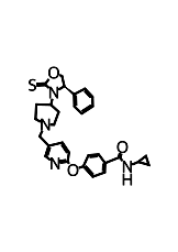 O=C(NC1CC1)c1ccc(Oc2ccc(CN3CCC(N4C(=S)OC[C@H]4c4ccccc4)CC3)cn2)cc1